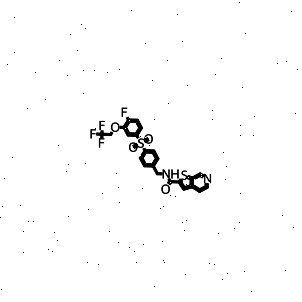 O=C(NCc1ccc(S(=O)(=O)c2ccc(F)c(OCC(F)(F)F)c2)cc1)c1cc2ccncc2s1